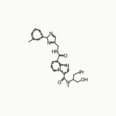 Cc1cccc(C2N=CC(CNC(=O)c3cccn4c(C(=O)N(C)C(CO)CC(C)C)cnc34)=N2)c1